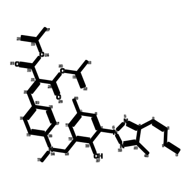 C=C/C=C\c1nn(-c2cc(C)cc(CN(C)c3ccc(C=C(C(=O)OC(=C)C)C(=O)OC(=C)C)cc3)c2O)nc1C